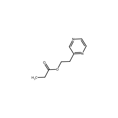 CCC(=O)OCCc1cnccn1